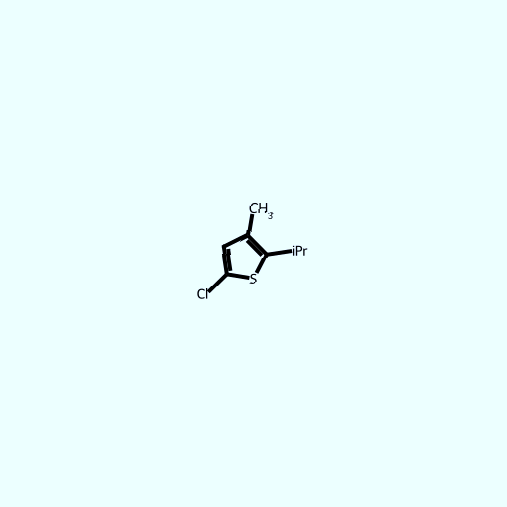 Cc1cc(Cl)sc1C(C)C